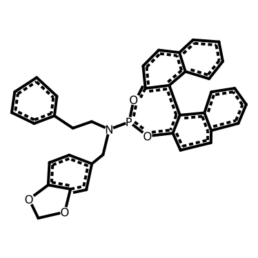 c1ccc(CCN(Cc2ccc3c(c2)OCO3)p2oc3ccc4ccccc4c3c3c(ccc4ccccc43)o2)cc1